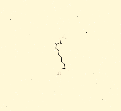 CC(CCCCCCC(=O)ON(C)C)C(=O)ON(C)C